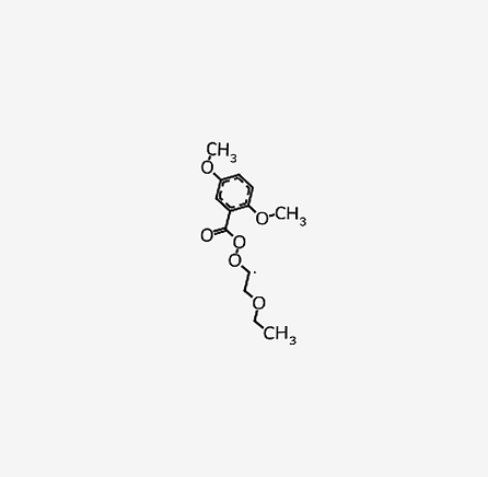 CCOC[CH]OOC(=O)c1cc(OC)ccc1OC